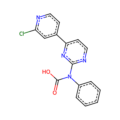 O=C(O)N(c1ccccc1)c1nccc(-c2ccnc(Cl)c2)n1